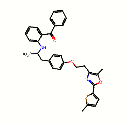 Cc1ccc(-c2nc(CCOc3ccc(CC(Nc4ccccc4C(=O)c4ccccc4)C(=O)O)cc3)c(C)o2)s1